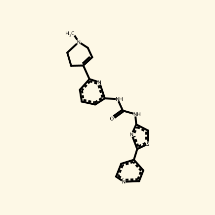 CN1CC=C(c2cccc(NC(=O)Nc3csc(-c4ccncc4)n3)n2)CC1